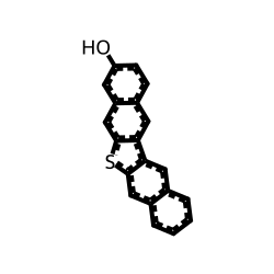 Oc1ccc2cc3c(cc2c1)sc1cc2ccccc2cc13